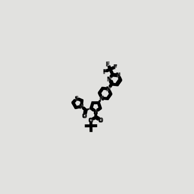 CC(C)(C)OC(=O)N1C[C@@H](N2CCN(c3ccnc(C(F)(F)F)n3)CC2)C[C@H]1C(=O)N1CCSC1